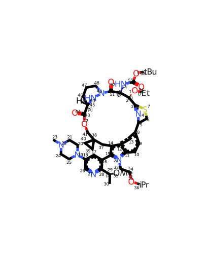 CCO[C@@H]1C2=NC(CS2)c2ccc3c(c2)c(c(-c2cc(N4CCN(C)CC4)cnc2[C@H](C)OC)n3CCOC(C)C)CC2(CC2)COC(=O)[C@@H]2CCCN(N2)C(=O)[C@H]1NC(=O)OC(C)(C)C